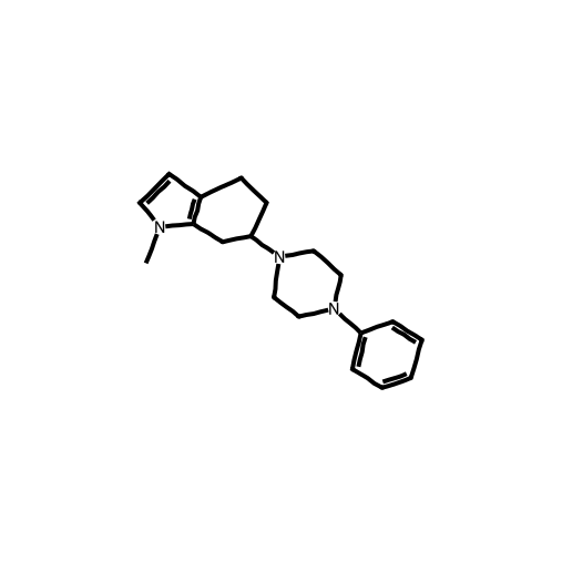 Cn1ccc2c1CC(N1CCN(c3ccccc3)CC1)CC2